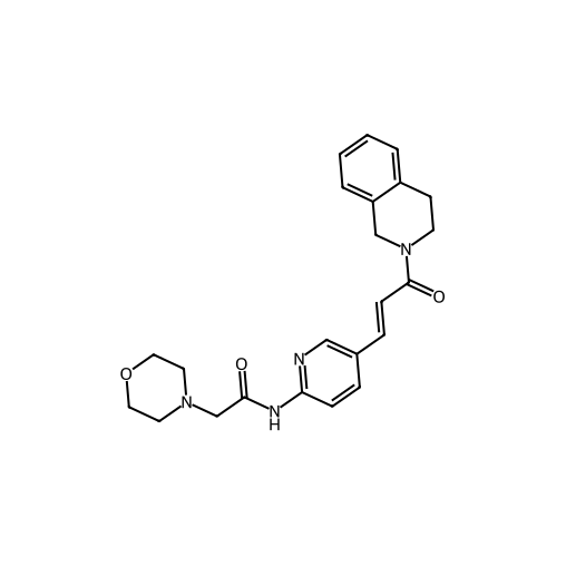 O=C(CN1CCOCC1)Nc1ccc(/C=C/C(=O)N2CCc3ccccc3C2)cn1